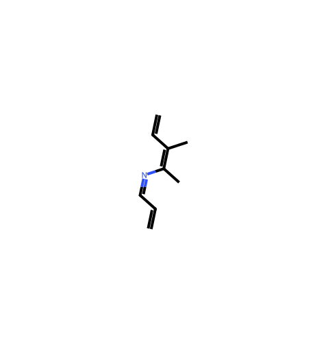 C=C/C=N\C(C)=C(\C)C=C